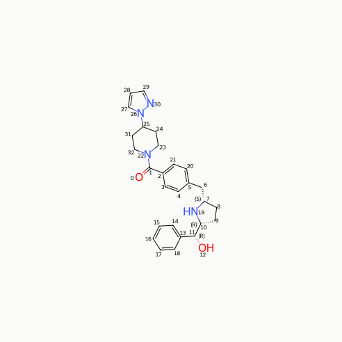 O=C(c1ccc(C[C@@H]2CC[C@H]([C@H](O)c3ccccc3)N2)cc1)N1CCC(n2cccn2)CC1